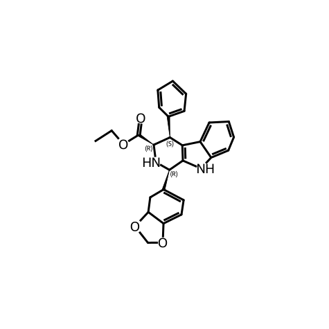 CCOC(=O)[C@@H]1N[C@H](C2=CC=C3OCOC3C2)c2[nH]c3ccccc3c2[C@@H]1c1ccccc1